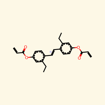 C=CC(=O)Oc1ccc(/C=C/c2ccc(OC(=O)C=C)cc2CC)c(CC)c1